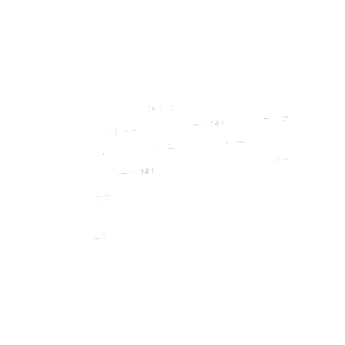 O=C(Nc1cnc(Cl)c(NC(=O)c2ccccc2)c1)c1cccc(F)c1